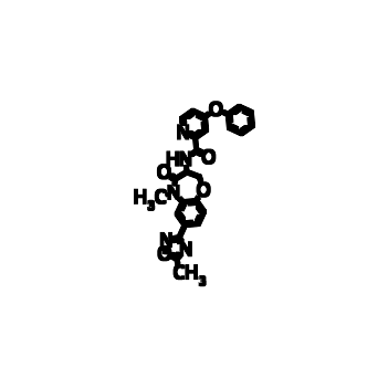 Cc1nc(-c2ccc3c(c2)N(C)C(=O)C(NC(=O)c2cc(Oc4ccccc4)ccn2)CO3)no1